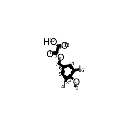 COc1c(I)cc(COC(=O)C(=O)O)cc1I